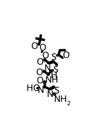 CC(C)(C)C(=O)OCOC(=O)C1=C(SC2CCOC2)CS[C@H]2C(NC(=O)/C(=N\O)c3csc(N)n3)C(=O)N12